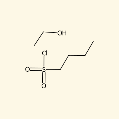 CCCCS(=O)(=O)Cl.CCO